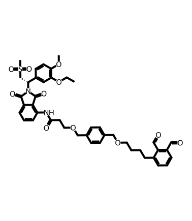 CCOc1cc([C@@H](CS(C)(=O)=O)N2C(=O)c3cccc(NC(=O)CCOCc4ccc(COCCCCc5cccc(C=O)c5C=O)cc4)c3C2=O)ccc1OC